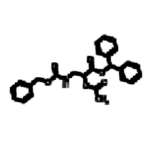 CC(=O)OC(CNC(=O)OCc1ccccc1)C(=O)OC(c1ccccc1)c1ccccc1